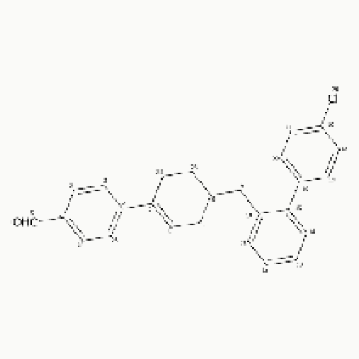 O=[C]c1ccc(C2=CCC(Cc3ccccc3-c3ccc(Cl)cc3)CC2)cc1